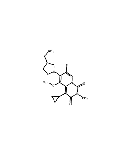 COc1c(N2CCC(CN)C2)c(F)cn2c(=O)n(N)c(=O)c(C3CC3)c12